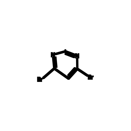 Brc1cc(Br)n[c]n1